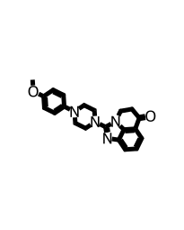 COc1ccc(N2CCN(c3nc4cccc5c4n3CCC5=O)CC2)cc1